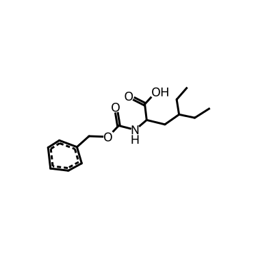 CCC(CC)CC(NC(=O)OCc1ccccc1)C(=O)O